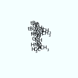 CN(C)C(=O)[C@@H](NC(=O)CNC(=O)C(=O)[C@H](CC1CCC1)NC(=O)[C@@H]1[C@@H]2[C@H](CN1C(=O)[C@@H](NC(=O)OC(C)(C)C)C(C)(C)C)C2(C)C)c1ccccc1